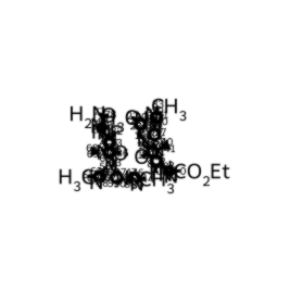 CCOC(=O)c1cn(-c2cc3c(cc2F)c(=O)c(CN(Cc2ccnc(C)c2)[C@H]2CCCN(c4ccc(C)nc4)C2)cn3C2CC2)nn1.Cc1ccc(N2CCC[C@H](N(Cc3ccnc(C)c3)Cc3cn(C4CC4)c4cc(-n5cc(C(N)=O)nn5)c(F)cc4c3=O)C2)cn1